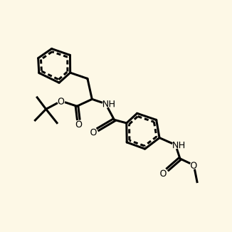 COC(=O)Nc1ccc(C(=O)NC(Cc2ccccc2)C(=O)OC(C)(C)C)cc1